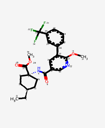 CC[C@H]1CC[C@@](NC(=O)c2cnc(OC)c(-c3cccc(C(F)(F)F)c3)c2)(C(=O)OC)CC1